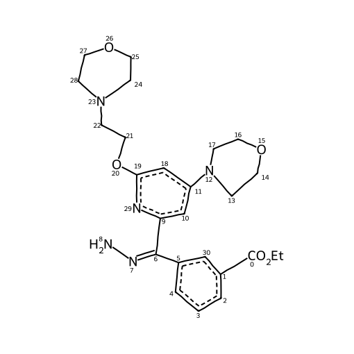 CCOC(=O)c1cccc(C(=NN)c2cc(N3CCOCC3)cc(OCCN3CCOCC3)n2)c1